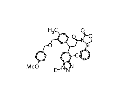 CCn1nnc2c(C)c(C(CC(=O)N3C(=O)OC[C@H]3c3ccccc3)c3ccc(C)c(COCc4ccc(OC)cc4)c3)ccc21